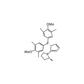 COc1c(C)cc(P(c2cc(C)c(OC)c(C)c2)[C@@H]2C=CC=C2P2[C@@H](C)CC[C@@H]2C)cc1C